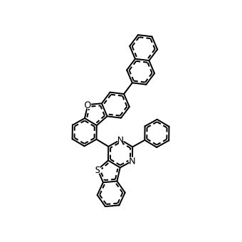 c1ccc(-c2nc(-c3cccc4oc5cc(-c6ccc7ccccc7c6)ccc5c34)c3sc4ccccc4c3n2)cc1